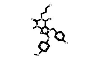 COc1ccc(Oc2nc3c(n2Cc2ccc(Cl)cc2)C(O)N(CCCO)C(=O)N3C)cc1